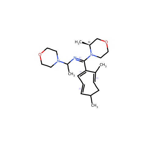 CC1=C\CC(C)/C=C/C=C\1C(=N\C(C)N1CCOCC1)/N1CCOC[C@@H]1C